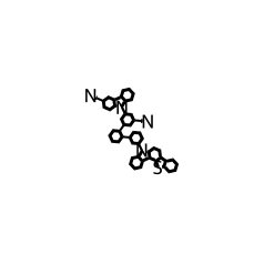 N#Cc1cc(-c2ccccc2-c2cccc(-n3c4ccccc4c4c5sc6ccccc6c5ccc43)c2)cc(-n2c3ccccc3c3cc(C#N)ccc32)c1